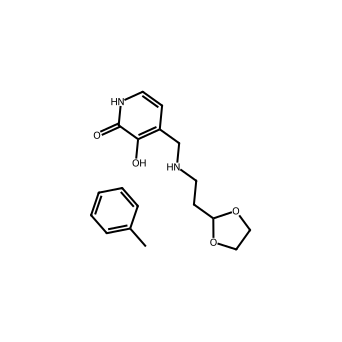 Cc1ccccc1.O=c1[nH]ccc(CNCCC2OCCO2)c1O